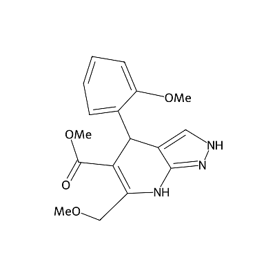 COCC1=C(C(=O)OC)C(c2ccccc2OC)c2c[nH]nc2N1